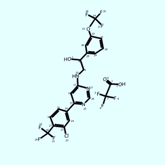 O=C(O)C(F)(F)F.OC(CNc1cc(-c2ccc(C(F)(F)F)c(Cl)c2)ncn1)c1cccc(OC(F)(F)F)c1